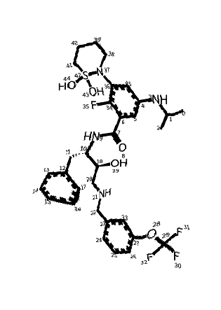 CC(C)Nc1cc(C(=O)N[C@@H](Cc2ccccc2)[C@@H](O)CNCc2cccc(OC(F)(F)F)c2)c(F)c(N2CCCCS2(O)O)c1